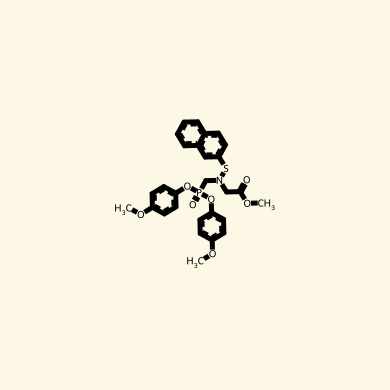 COC(=O)CN(CP(=O)(Oc1ccc(OC)cc1)Oc1ccc(OC)cc1)Sc1ccc2ccccc2c1